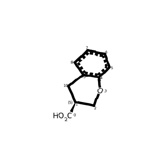 O=C(O)[C@@H]1COc2ccccc2C1